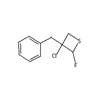 FC1SCC1(Cl)[CH]c1ccccc1